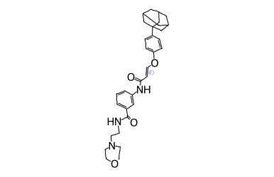 O=C(/C=C/Oc1ccc(C23CC4CC(CC(C4)C2)C3)cc1)Nc1cccc(C(=O)NCCN2CCOCC2)c1